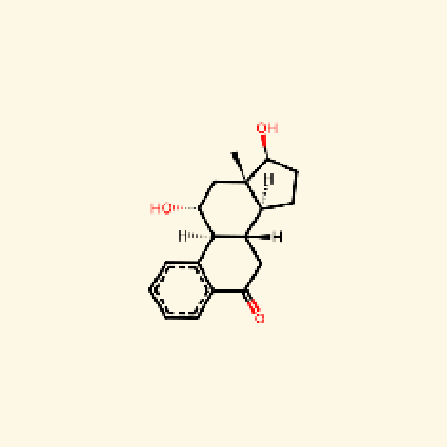 C[C@]12C[C@@H](O)[C@@H]3c4ccccc4C(=O)C[C@H]3[C@@H]1CC[C@@H]2O